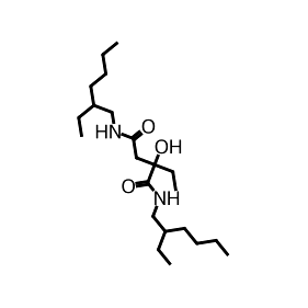 CCCCC(CC)CNC(=O)CC(O)(CC)C(=O)NCC(CC)CCCC